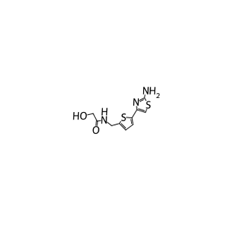 Nc1nc(-c2ccc(CNC(=O)CO)s2)cs1